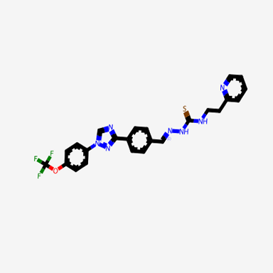 FC(F)(F)Oc1ccc(-n2cnc(-c3ccc(/C=N/NC(=S)NCCc4ccccn4)cc3)n2)cc1